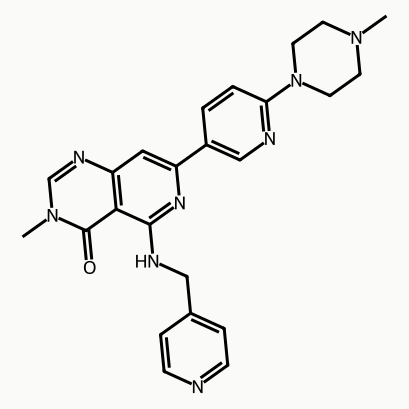 CN1CCN(c2ccc(-c3cc4ncn(C)c(=O)c4c(NCc4ccncc4)n3)cn2)CC1